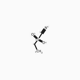 CCS(=O)(=O)C#N